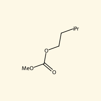 COC(=O)OCCC(C)C